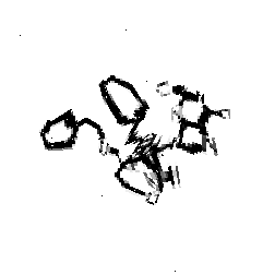 Clc1nc(Cl)c2ncn([C@@H]3O[C@@]4(COCc5ccccc5)CCO[C@@H]3[C@@H]4OCc3ccccc3)c2n1